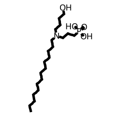 CCCCCCCCCCCCCCN(CCCCO)CCCP(=O)(O)O